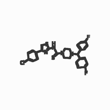 Fc1ccc(C(c2ccc(F)cc2)N2CCN(C(=S)Nc3nc(-c4ccc(Cl)cc4)cs3)CC2)cc1